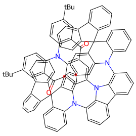 CC(C)(C)c1ccc2c(c1)c(=O)c1cc(-n3c4c(N5c6ccccc6C6(c7ccccc7-c7ccccc76)c6ccccc65)cccc4c4cccc(N5c6ccccc6C6(c7ccccc7-c7ccccc76)c6ccccc65)c43)cc3c(=O)c4cc(C(C)(C)C)ccc4n2c13